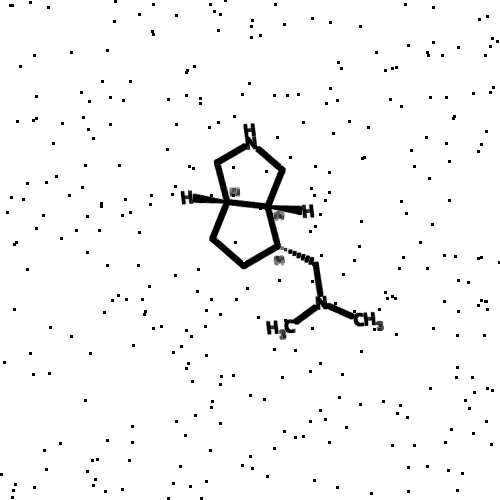 CN(C)C[C@@H]1CC[C@@H]2CNC[C@@H]21